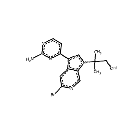 CC(C)(CO)n1cc(-c2ccnc(N)n2)c2cc(Br)ncc21